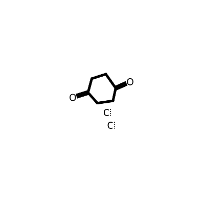 O=C1CCC(=O)CC1.[C].[C]